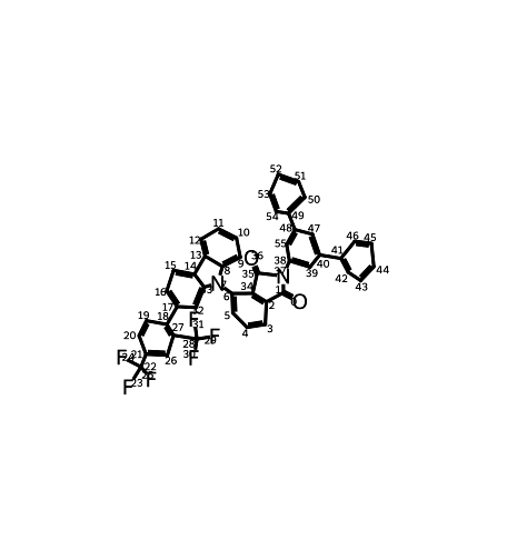 O=C1c2cccc(-n3c4ccccc4c4ccc(-c5ccc(C(F)(F)F)cc5C(F)(F)F)cc43)c2C(=O)N1c1cc(-c2ccccc2)cc(-c2ccccc2)c1